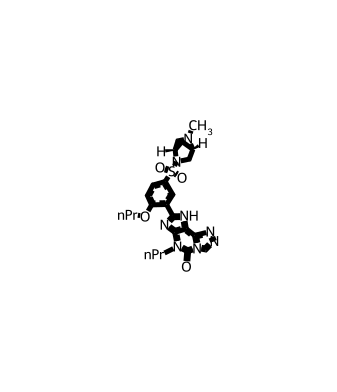 CCCOc1ccc(S(=O)(=O)N2C[C@@H]3C[C@H]2CN3C)cc1-c1nc2c([nH]1)c1nncn1c(=O)n2CCC